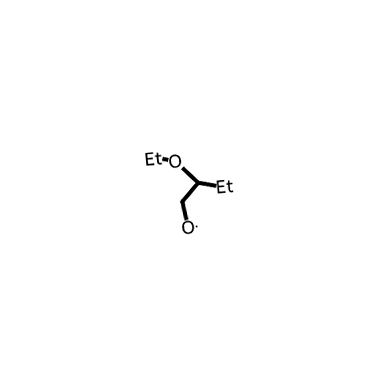 CCOC(CC)C[O]